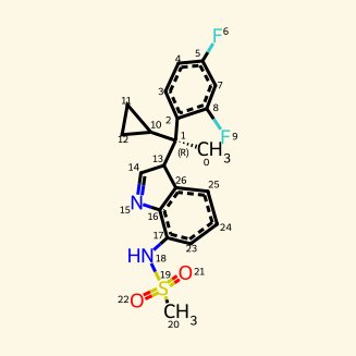 C[C@@](c1ccc(F)cc1F)(C1CC1)C1C=Nc2c(NS(C)(=O)=O)cccc21